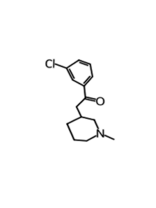 CN1CCCC(CC(=O)c2cccc(Cl)c2)C1